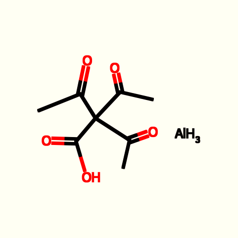 CC(=O)C(C(C)=O)(C(C)=O)C(=O)O.[AlH3]